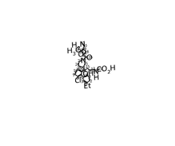 CCc1cccc(-c2c(Cl)cccc2C(O)(CCCNC(=O)O)C2CCCN(C(=O)c3cc(CN)c(C)o3)C2)c1